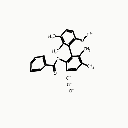 Cc1ccc([O][Ti+3])c(-c2c(OC(=O)c3ccccc3)ccc(C)c2C)c1C.[Cl-].[Cl-].[Cl-]